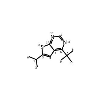 CC(C)c1cc2c(C(C)(C)C)ncnc2s1